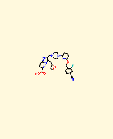 N#Cc1ccc(COc2cccc(N3CCN(Cc4nc5ccc(C(=O)O)nn5c4CC4CCO4)CC3)n2)c(F)c1